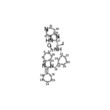 C[C@@H](NC(=O)c1ccc2nc(-c3ccccc3)n(Cc3ccccc3)c2c1)c1nc2ccncc2[nH]1